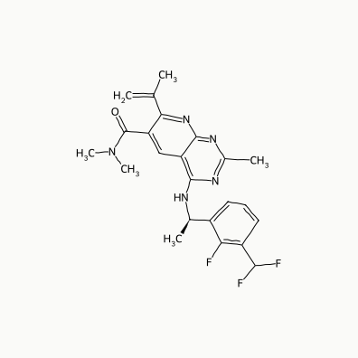 C=C(C)c1nc2nc(C)nc(N[C@H](C)c3cccc(C(F)F)c3F)c2cc1C(=O)N(C)C